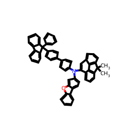 CC1(C)c2cccc3cc(N(c4ccc(-c5ccc(C6(c7ccccc7)c7ccccc7-c7ccccc76)cc5)cc4)c4ccc5c(c4)oc4ccccc45)c4cccc1c4c23